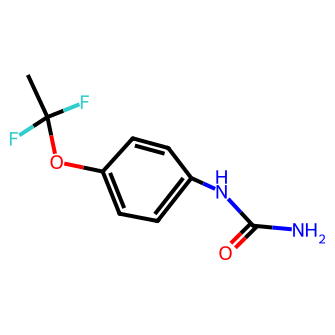 CC(F)(F)Oc1ccc(NC(N)=O)cc1